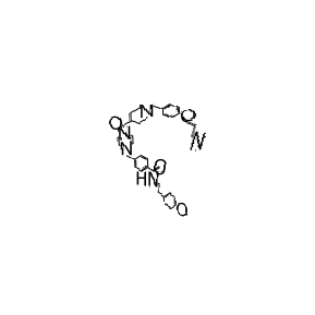 COc1ccc(CCNC(=O)c2ccc(CN3CCN(C(=O)C4CCN(Cc5ccc(OCCCN(C)C)cc5)CC4)CC3)cc2)cc1